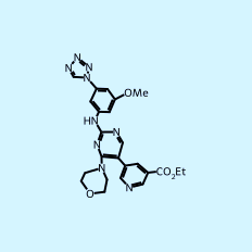 CCOC(=O)c1cncc(-c2cnc(Nc3cc(OC)cc(-n4cnnn4)c3)nc2N2CCOCC2)c1